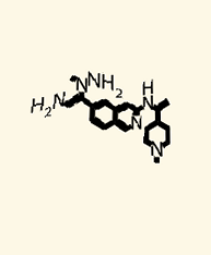 C=C(Nc1cc2cc(/C(=C/N)N(C)N)ccc2cn1)C1CCN(C)CC1